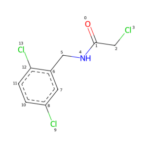 O=C(CCl)NCc1cc(Cl)ccc1Cl